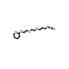 [N-]=[N+]=NCCCOCCOCCOC1CCCCO1